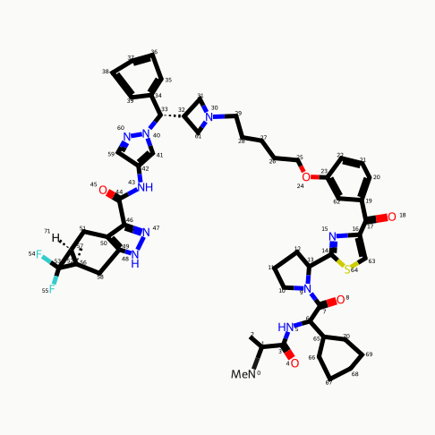 CNC(C)C(=O)NC(C(=O)N1CCCC1c1nc(C(=O)c2cccc(OCCCCCN3CC([C@@H](c4ccccc4)n4cc(NC(=O)c5n[nH]c6c5C[C@@H]5C(F)(F)[C@]5(C)C6)cn4)C3)c2)cs1)C1CCCCC1